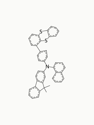 CC1(C)c2ccccc2-c2ccc(N(c3ccc(-c4cccc5c4Sc4ccccc4S5)cc3)c3cccc4ccccc34)cc21